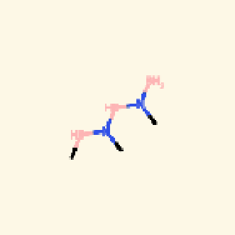 BN(C)BN(C)BC